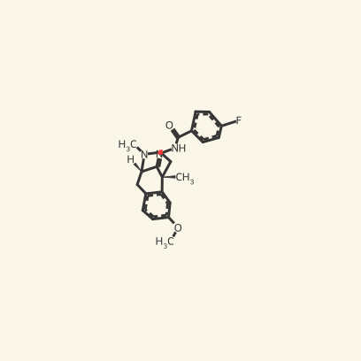 COc1ccc2c(c1)[C@@]1(C)CCN(C)[C@@H](C2)/C1=N/NC(=O)c1ccc(F)cc1